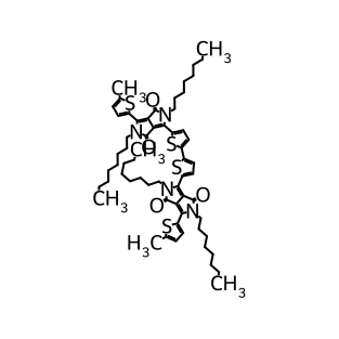 CCCCCCCCN1C(=O)C2=C(c3ccc(-c4ccc(C5=C6C(=O)N(CCCCCCCC)C(c7ccc(C)s7)=C6C(=O)N5CCCCCCCC)s4)s3)N(CCCCCCCC)C(=O)C2=C1c1ccc(C)s1